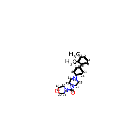 Cc1cccc(-c2ccc(N3CCN(C(=O)N4CCOCC4)CC3)cc2)c1C